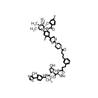 Cc1ncsc1-c1ccc([C@H](C)NC(=O)[C@@H]2C[C@@H](O)CN2C(=O)[C@@H](NC(=O)CCc2cccc(CCCC(=O)N3CCN(c4ncc(-c5cc(NC(=O)c6ccc(F)cc6C(F)(F)F)c(N6C[C@@H](C)N(C)[C@@H](C)C6)cc5F)cn4)CC3)c2)C(C)(C)C)cc1